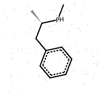 CP[C@@H](C)Cc1ccccc1